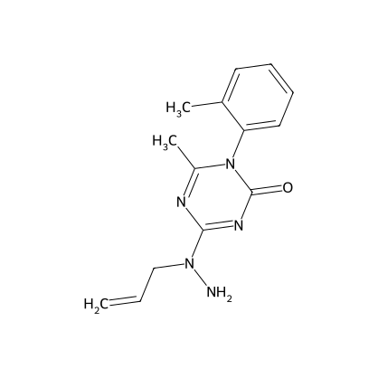 C=CCN(N)c1nc(C)n(-c2ccccc2C)c(=O)n1